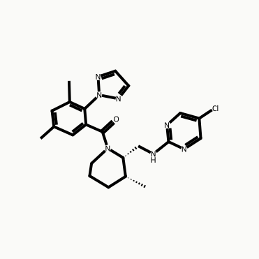 Cc1cc(C)c(-n2nccn2)c(C(=O)N2CCC[C@@H](C)[C@H]2CNc2ncc(Cl)cn2)c1